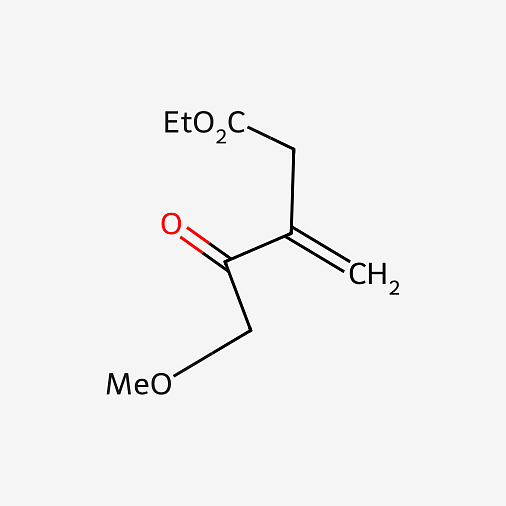 C=C(CC(=O)OCC)C(=O)COC